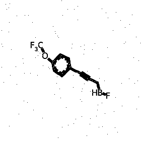 FBCC#Cc1ccc(OC(F)(F)F)cc1